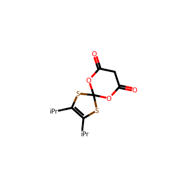 CC(C)C1=C(C(C)C)SC2(OC(=O)CC(=O)O2)S1